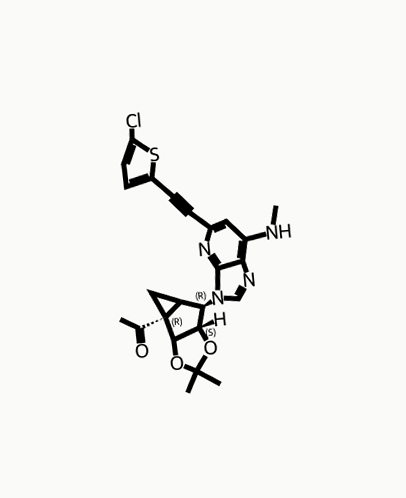 CNc1cc(C#Cc2ccc(Cl)s2)nc2c1ncn2[C@@H]1C2C[C@]2(C(C)=O)C2OC(C)(C)O[C@H]21